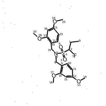 CCC(F)S(=O)(=O)N(Cc1ccc(OC)cc1OC)Cc1ccc(OC)cc1OC